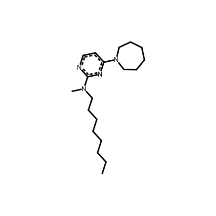 CCCCCCCCN(C)c1nccc(N2CCCCCC2)n1